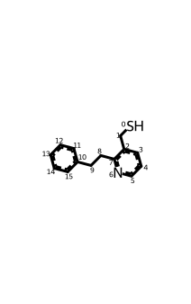 SCc1cccnc1CCc1ccccc1